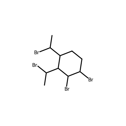 CC(Br)C1CCC(Br)C(Br)C1C(C)Br